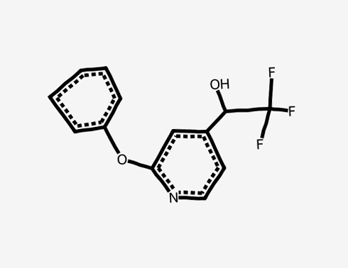 OC(c1ccnc(Oc2ccccc2)c1)C(F)(F)F